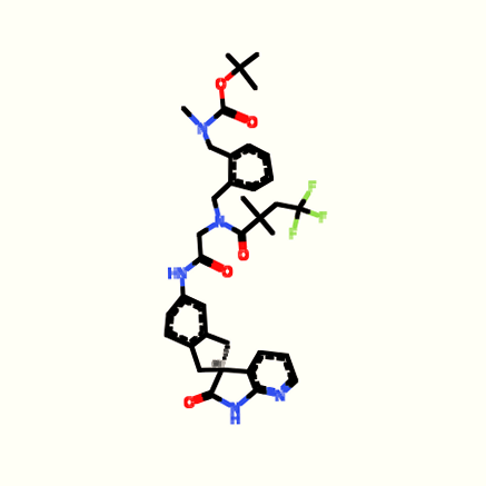 CN(Cc1ccccc1CN(CC(=O)Nc1ccc2c(c1)C[C@@]1(C2)C(=O)Nc2ncccc21)C(=O)C(C)(C)CC(F)(F)F)C(=O)OC(C)(C)C